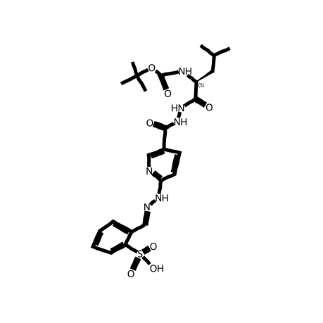 CC(C)C[C@H](NC(=O)OC(C)(C)C)C(=O)NNC(=O)c1ccc(NN=Cc2ccccc2S(=O)(=O)O)nc1